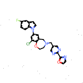 Fc1ccc2c(ccn2-c2cc(Cl)c3c(c2)CN(Cc2cnc(-c4ncco4)nc2)CCO3)c1